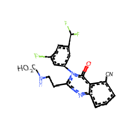 N#Cc1cccc2nc(CCNC(=O)O)n(-c3cc(F)cc(C(F)F)c3)c(=O)c12